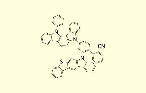 N#Cc1ccccc1-c1ccc(-n2c3ccccc3c3c2ccc2c4ccccc4n(-c4ccccc4)c23)cc1-n1c2ccccc2c2cc3c(cc21)sc1ccccc13